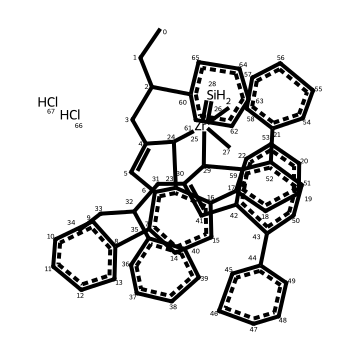 CCC(CC1=Cc2c(-c3ccccc3)ccc(-c3ccccc3)c2[CH]1[Zr]([CH3])([CH3])(=[SiH2])[CH]1C(CC(CC)c2ccccc2)=Cc2c(-c3ccccc3)ccc(-c3ccccc3)c21)c1ccccc1.Cl.Cl